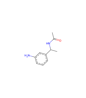 CC(=O)NC(C)c1cccc(N)c1